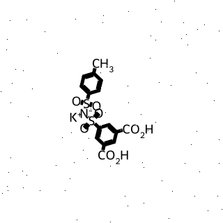 Cc1ccc(S(=O)(=O)[N-]S(=O)(=O)c2cc(C(=O)O)cc(C(=O)O)c2)cc1.[K+]